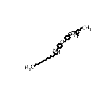 CCCCCCCCCCCCc1cnc(-c2ccc(OCc3ccc(OCCC(CCCC)C(F)(F)F)cc3)cc2)nc1